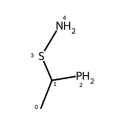 CC(P)SN